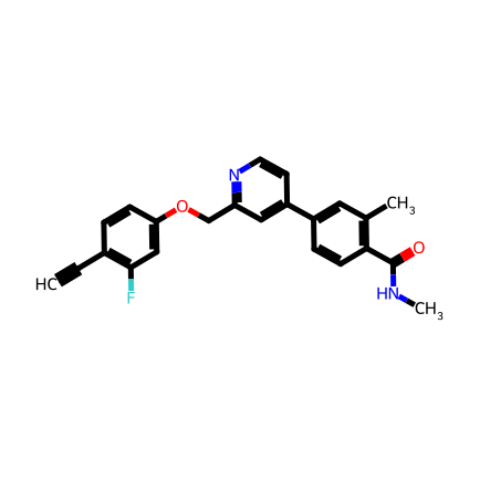 C#Cc1ccc(OCc2cc(-c3ccc(C(=O)NC)c(C)c3)ccn2)cc1F